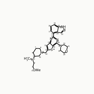 COCCN(C)C1CCCN(Cc2cc3nc(-c4cccc5[nH]ncc45)nc(N4CCOCC4)c3s2)C1